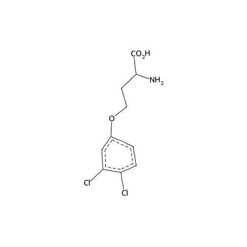 NC(CCOc1ccc(Cl)c(Cl)c1)C(=O)O